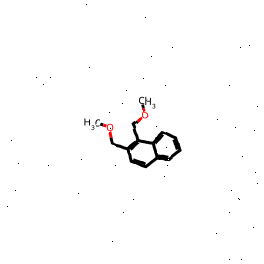 COCc1ccc2ccccc2c1COC